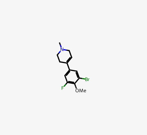 COc1c(F)cc(C2=CCN(C)CC2)cc1Br